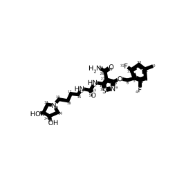 Cc1cc(F)c(COc2nsc(NC(=O)NCCCCN3CC(O)C(O)C3)c2C(N)=O)c(F)c1